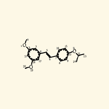 COc1cc(/C=C/c2ccc(OC(C)C)cc2)cc(OC)c1